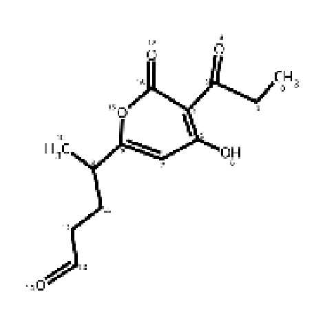 CCC(=O)c1c(O)cc(C(C)CCC=O)oc1=O